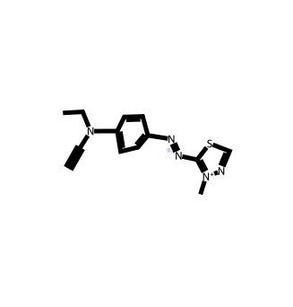 C#CN(CC)c1ccc(/N=N/c2scn[n+]2C)cc1